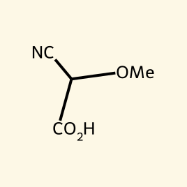 COC(C#N)C(=O)O